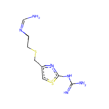 N=C(N)Nc1nc(CSCC/N=C\N)cs1